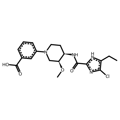 CCc1[nH]c(C(=O)N[C@@H]2CCN(c3cccc(C(=O)O)c3)C[C@@H]2OC)nc1Cl